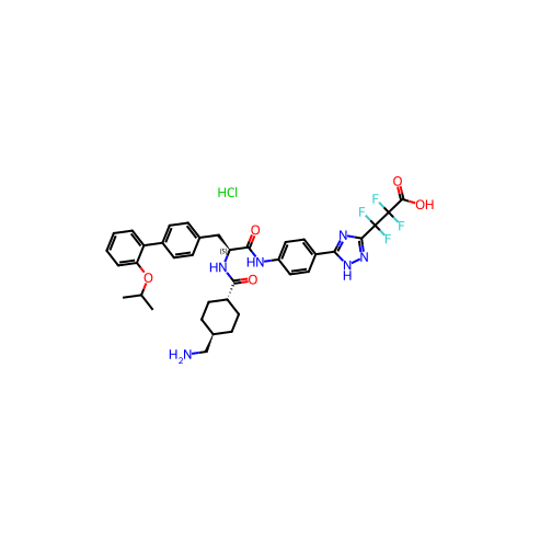 CC(C)Oc1ccccc1-c1ccc(C[C@H](NC(=O)[C@H]2CC[C@H](CN)CC2)C(=O)Nc2ccc(-c3nc(C(F)(F)C(F)(F)C(=O)O)n[nH]3)cc2)cc1.Cl